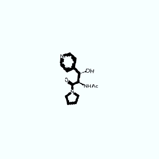 CC(=O)N[C@@H](C(=O)N1CCCC1)[C@@H](O)c1ccncc1